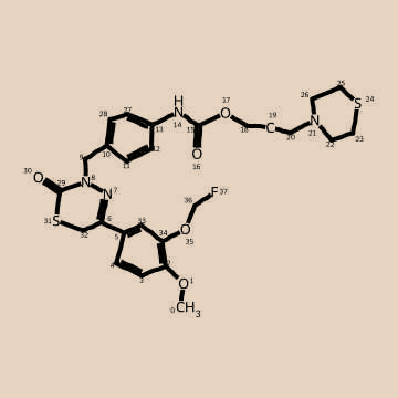 COc1ccc(C2=NN(Cc3ccc(NC(=O)OCCCN4CCSCC4)cc3)C(=O)SC2)cc1OCF